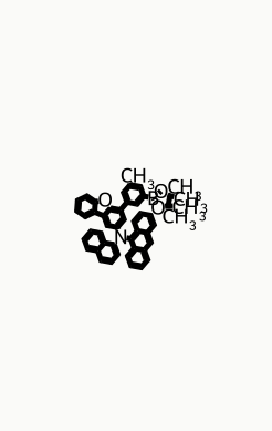 Cc1cc(B2OC(C)(C)C(C)(C)O2)cc(-c2cc(N(c3cccc4ccccc34)c3c4ccccc4cc4ccccc34)cc3c2oc2ccccc23)c1